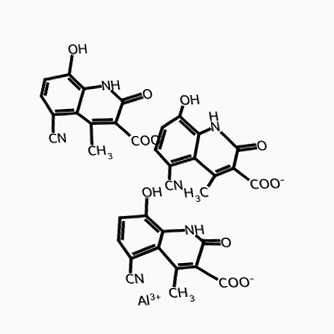 Cc1c(C(=O)[O-])c(=O)[nH]c2c(O)ccc(C#N)c12.Cc1c(C(=O)[O-])c(=O)[nH]c2c(O)ccc(C#N)c12.Cc1c(C(=O)[O-])c(=O)[nH]c2c(O)ccc(C#N)c12.[Al+3]